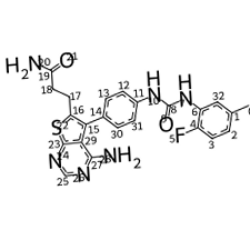 Cc1ccc(F)c(NC(=O)Nc2ccc(-c3c(CCC(N)=O)sc4ncnc(N)c34)cc2)c1